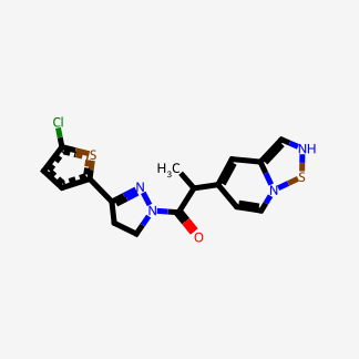 CC(C(=O)N1CCC(c2ccc(Cl)s2)=N1)C1=CC2=CNSN2C=C1